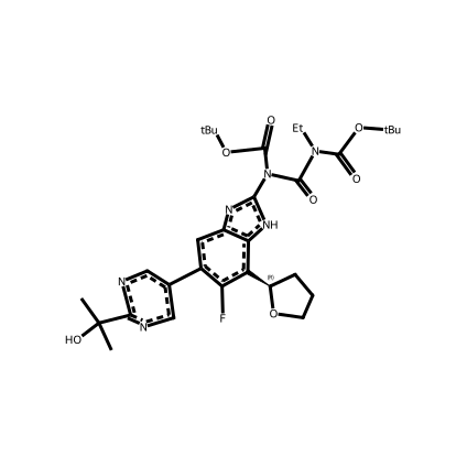 CCN(C(=O)OC(C)(C)C)C(=O)N(C(=O)OC(C)(C)C)c1nc2cc(-c3cnc(C(C)(C)O)nc3)c(F)c([C@H]3CCCO3)c2[nH]1